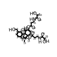 Cc1ccc(CO)c2c1[C@]13CCN(C)[C@H](C)[C@]1(OC(=O)CCNC(=O)[C@H](C)O)CC=C(OC(=O)CCNC(=O)[C@H](C)O)[C@@H]3O2